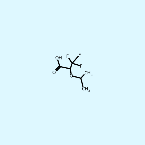 CC(C)OC(C(=O)O)C(F)(F)F